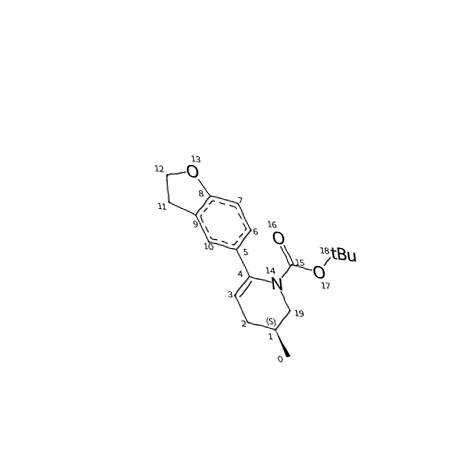 C[C@H]1CC=C(c2ccc3c(c2)CCO3)N(C(=O)OC(C)(C)C)C1